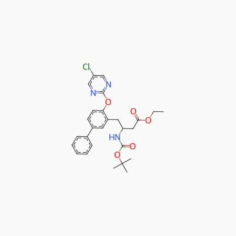 CCOC(=O)CC(Cc1cc(-c2ccccc2)ccc1Oc1ncc(Cl)cn1)NC(=O)OC(C)(C)C